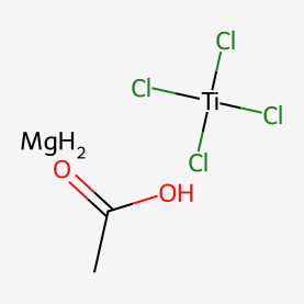 CC(=O)O.[Cl][Ti]([Cl])([Cl])[Cl].[MgH2]